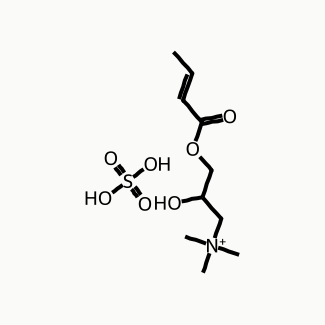 CC=CC(=O)OCC(O)C[N+](C)(C)C.O=S(=O)(O)O